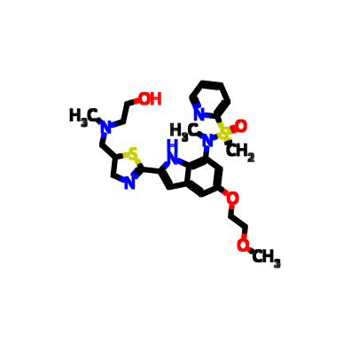 C=S(=O)(c1ccccn1)N(C)c1cc(OCCOC)cc2cc(C3=NCC(CN(C)CCO)S3)[nH]c12